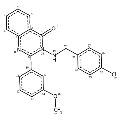 O=c1c2ccccc2nc(-c2cccc(OC(F)(F)F)c2)n1NCc1ccc(Cl)cc1